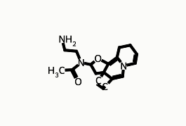 CC(=O)N(CCN)C1CC23CCCCC2=CN2C=CCCC2=C3O1